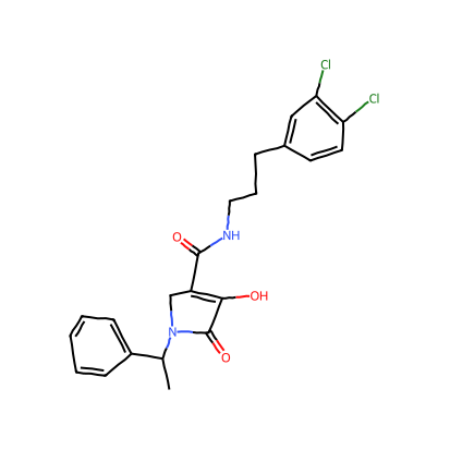 CC(c1ccccc1)N1CC(C(=O)NCCCc2ccc(Cl)c(Cl)c2)=C(O)C1=O